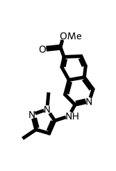 COC(=O)c1ccc2cnc(Nc3cc(C)nn3C)cc2c1